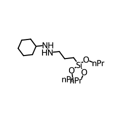 CCCO[Si](CCCNNC1CCCCC1)(OCCC)OCCC